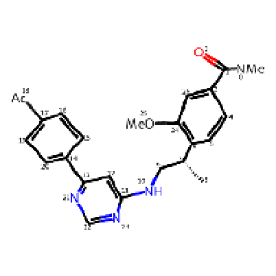 CNC(=O)c1ccc([C@H](C)CNc2cc(-c3ccc(C(C)=O)cc3)ncn2)c(OC)c1